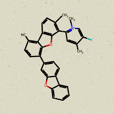 Cc1cc(-c2c(C)ccc3c2oc2c(-c4ccc5c(c4)oc4ccccc45)ccc(C#N)c23)[n+](C)cc1F